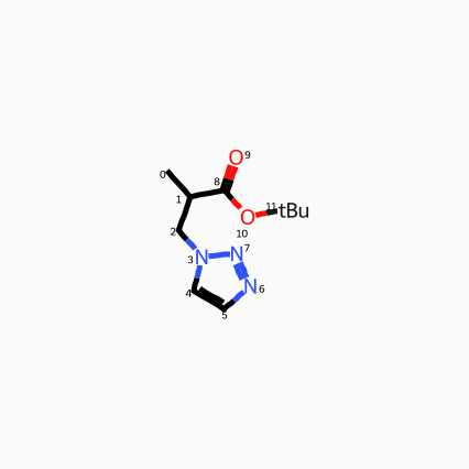 CC(Cn1ccnn1)C(=O)OC(C)(C)C